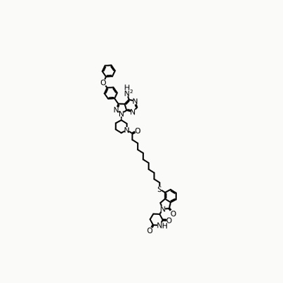 Nc1ncnc2c1c(-c1ccc(Oc3ccccc3)cc1)nn2[C@@H]1CCCN(C(=O)CCCCCCCCCCSc2cccc3c2CN(C2CCC(=O)NC2=O)C3=O)C1